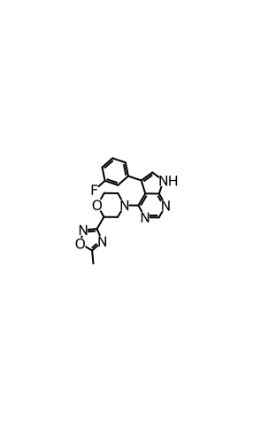 Cc1nc(C2CN(c3ncnc4[nH]cc(-c5cccc(F)c5)c34)CCO2)no1